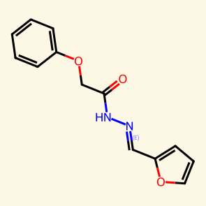 O=C(COc1ccccc1)N/N=C/c1ccco1